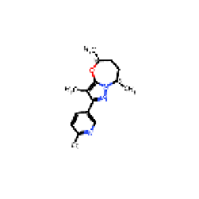 CCc1ccc(-c2nn3c(c2C)O[C@@H](C)CC[C@H]3C)cn1